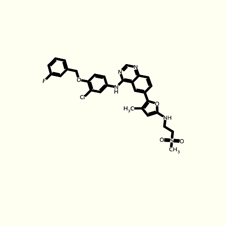 Cc1cc(NCCS(C)(=O)=O)oc1-c1ccc2ncnc(Nc3ccc(OCc4cccc(F)c4)c(Cl)c3)c2c1